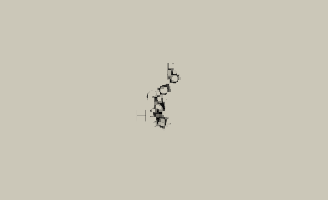 O=C(c1ccc(-c2cccc(F)c2)cc1)N1CCc2c([nH]c3ccccc23)C1